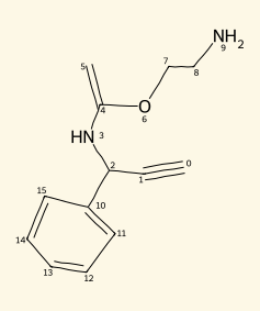 C#CC(NC(=C)OCCN)c1ccccc1